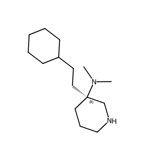 CN(C)[C@]1(CCC2CCCCC2)CCCNC1